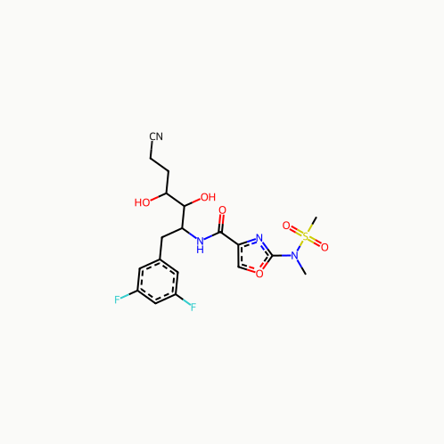 CN(c1nc(C(=O)NC(Cc2cc(F)cc(F)c2)C(O)C(O)CCC#N)co1)S(C)(=O)=O